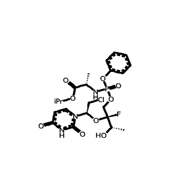 CC(C)OC(=O)[C@H](C)NP(=O)(OC[C@@](F)(O[C@H](CCl)n1ccc(=O)[nH]c1=O)[C@H](C)O)Oc1ccccc1